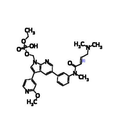 CCOP(=O)(O)OCn1cc(-c2ccnc(OC)c2)c2cc(-c3cccc(N(C)C(=O)/C=C/CN(C)C)c3)cnc21